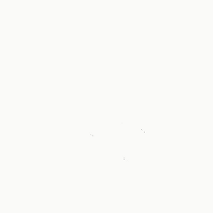 CC(C)(C)c1ncc(S(C)(=O)=O)cc1C#N